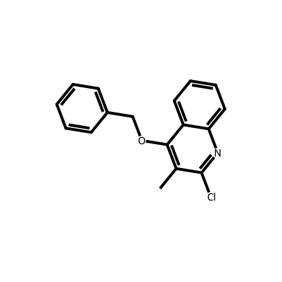 Cc1c(Cl)nc2ccccc2c1OCc1ccccc1